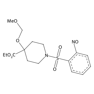 CCOC(=O)C1(OCOC)CCN(S(=O)(=O)c2ccccc2N=O)CC1